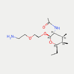 CC[C@H]1O[C@@H](OCCOCCN)[C@H](NC(C)=O)[C@@H](C)[C@H]1C